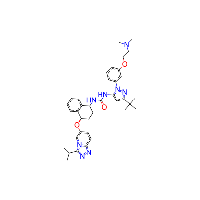 CC(C)c1nnc2ccc(O[C@@H]3CCC(NC(=O)Nc4cc(C(C)(C)C)nn4-c4cccc(OCCN(C)C)c4)c4ccccc43)cn12